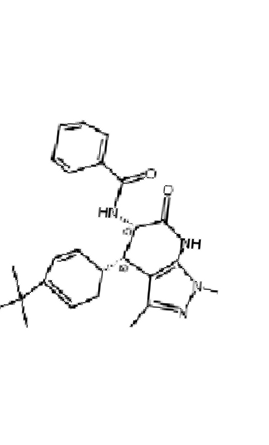 Cc1nn(C)c2c1[C@H](C1C=CC(C(C)(C)C)=CC1)[C@H](NC(=O)c1ccccc1)C(=O)N2